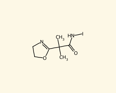 CC(C)(C(=O)NI)C1=NCCO1